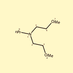 [CH2]CCN(CCOC)CCOC